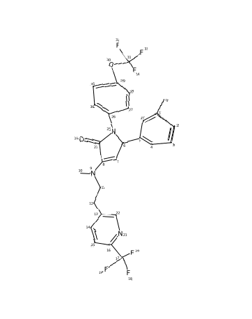 Cc1cccc(C2C=C(N(C)CCc3ccc(C(F)(F)F)nc3)C(=O)N2c2ccc(OC(F)(F)F)cc2)c1